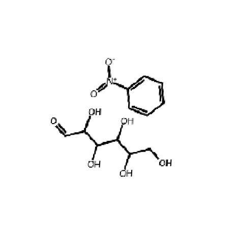 O=CC(O)C(O)C(O)C(O)CO.O=[N+]([O-])c1ccccc1